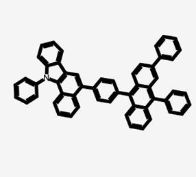 c1ccc(-c2ccc3c(-c4ccc(-c5cc6c7ccccc7n(-c7ccccc7)c6c6ccccc56)cc4)c4ccccc4c(-c4ccccc4)c3c2)cc1